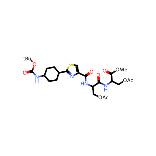 COC(=O)C(COC(C)=O)NC(=O)C(COC(C)=O)NC(=O)c1csc(C2CCC(NC(=O)OC(C)(C)C)CC2)n1